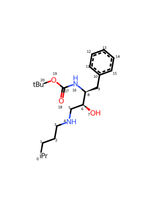 CC(C)CCCNC[C@H](O)[C@H](Cc1ccccc1)NC(=O)OC(C)(C)C